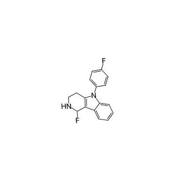 Fc1ccc(-n2c3c(c4ccccc42)C(F)NCC3)cc1